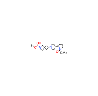 CCOC(O)N1CCC2(CC(N3CCC([C@H]4CCCN4C(=O)OC)CC3)C2)C1